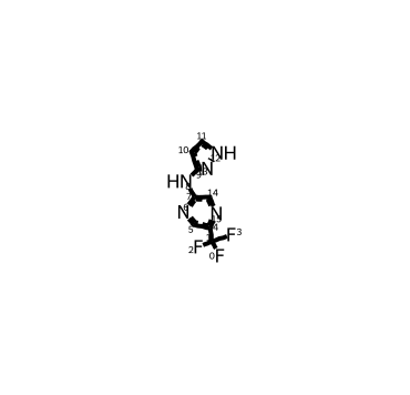 FC(F)(F)c1cnc(Nc2cc[nH]n2)cn1